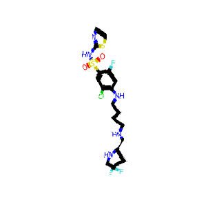 O=S(=O)(Nc1nccs1)c1cc(Cl)c(NCCCCNC[C@H]2CC(F)(F)CN2)cc1F